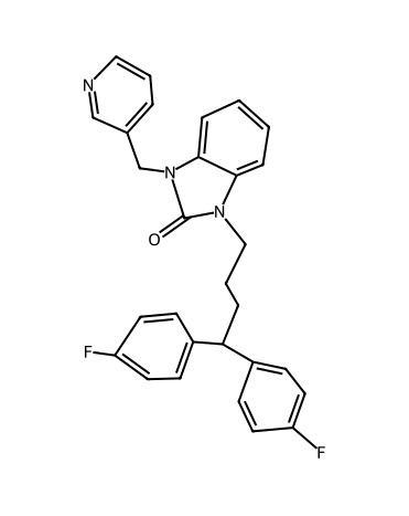 O=c1n(CCCC(c2ccc(F)cc2)c2ccc(F)cc2)c2ccccc2n1Cc1cccnc1